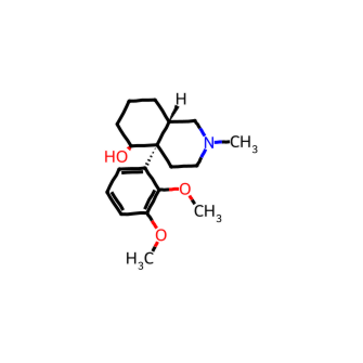 COc1cccc([C@@]23CCN(C)C[C@H]2CCC[C@@H]3O)c1OC